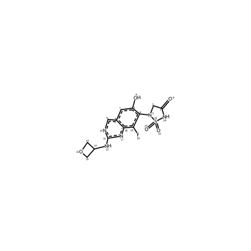 O=C1CN(c2c(O)cc3cnc(NC4COC4)nc3c2F)S(=O)(=O)N1